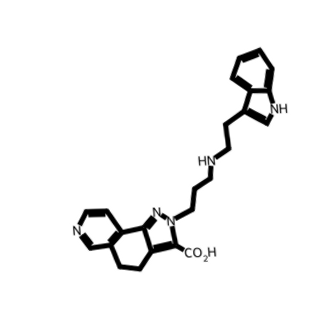 O=C(O)c1c2c(nn1CCCNCCc1c[nH]c3ccccc13)-c1ccncc1CC2